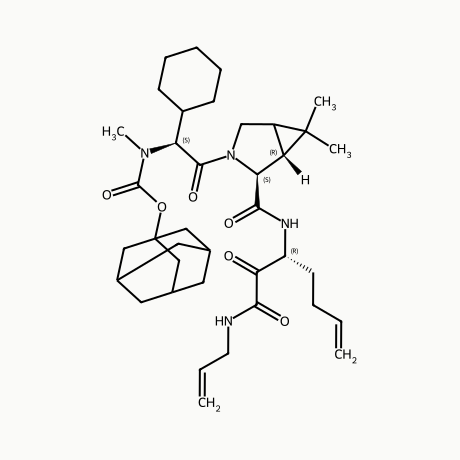 C=CCC[C@@H](NC(=O)[C@@H]1[C@@H]2C(CN1C(=O)[C@H](C1CCCCC1)N(C)C(=O)OC13CC4CC(CC(C4)C1)C3)C2(C)C)C(=O)C(=O)NCC=C